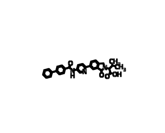 CC(C)C(C(=O)O)N1Cc2ccc(-c3ccc(NC(=O)c4ccc(-c5ccccc5)cc4)cn3)cc2C1=O